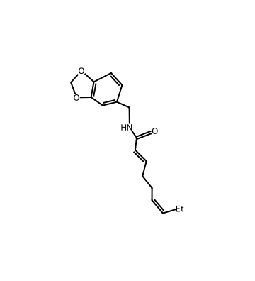 CC/C=C\CC/C=C/C(=O)NCc1ccc2c(c1)OCO2